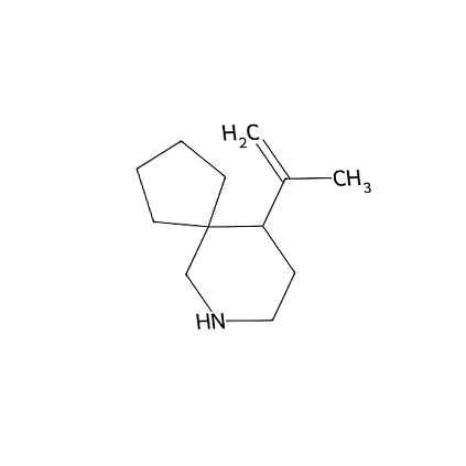 C=C(C)C1CCNCC12CCCC2